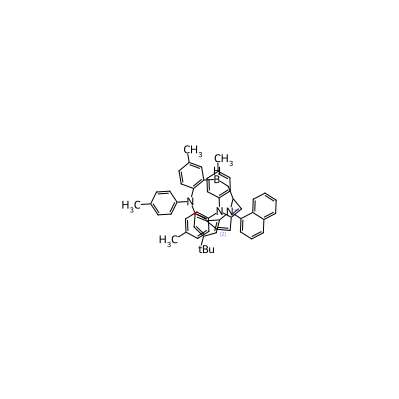 Cc1ccc(N(C2=C\C3CBc4cc(C)ccc4N(c4ccc(C)cc4)c4cc(C(C)(C)C)cc(c4/C=C\2)N3c2cccc3ccccc23)c2ccc(C)cc2)cc1